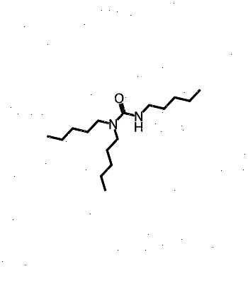 CCCCCNC(=O)N(CCCCC)CCCCC